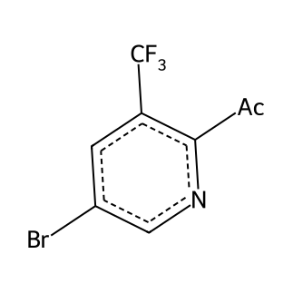 CC(=O)c1ncc(Br)cc1C(F)(F)F